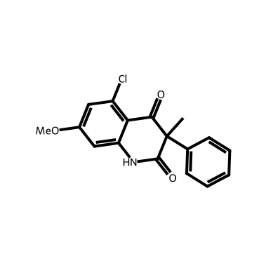 COc1cc(Cl)c2c(c1)NC(=O)C(C)(c1ccccc1)C2=O